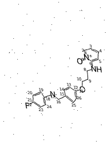 [O-][n+]1ccccc1NCCCOc1ccc(C[N]c2ccc(F)cc2)cc1